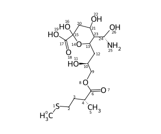 CSCC[C@@H](C)C(=O)OC[C@@H](O)CC1OC(O)(C(=O)O)CC(O)C1[C@@H](N)O